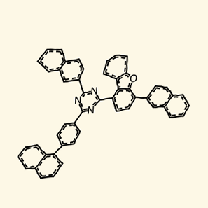 c1ccc2cc(-c3nc(-c4ccc(-c5cccc6ccccc56)cc4)nc(-c4ccc(-c5ccc6ccccc6c5)c5oc6ccccc6c45)n3)ccc2c1